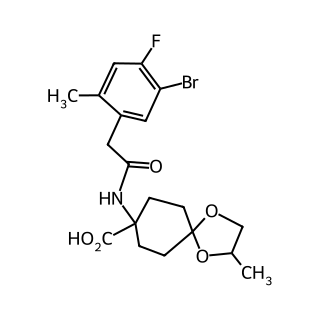 Cc1cc(F)c(Br)cc1CC(=O)NC1(C(=O)O)CCC2(CC1)OCC(C)O2